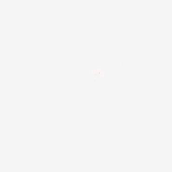 CCCCCCCCCCCCC(CCCCCCCCCC)COC=C(C)C(=O)OCC